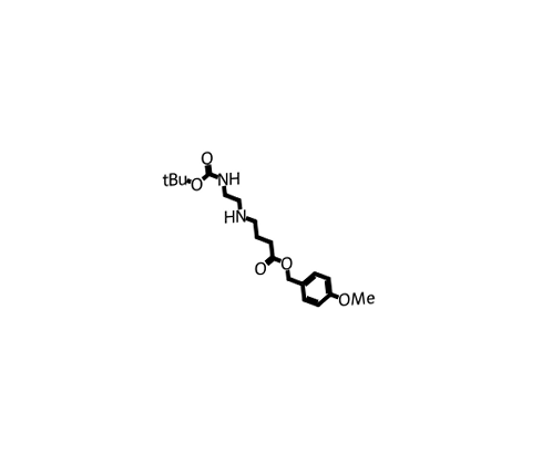 COc1ccc(COC(=O)CCCNCCNC(=O)OC(C)(C)C)cc1